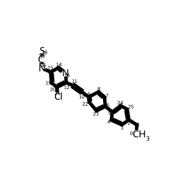 CCc1ccc(-c2ccc(C#Cc3ncc(N=C=S)cc3Cl)cc2)cc1